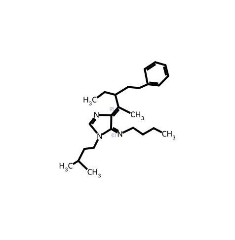 CCCC/N=C1\C(=C(/C)C(CC)CCc2ccccc2)N=CN1CCC(C)C